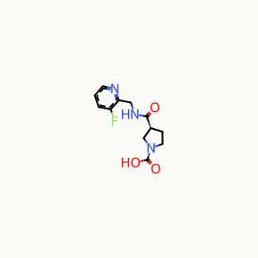 O=C(NCc1ncccc1F)[C@H]1CCN(C(=O)O)C1